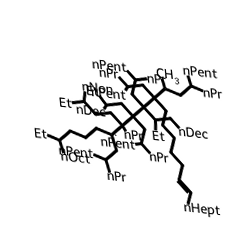 CCCCCCCC=CCCCCCC(CC(CCC)CCCCC)(C(C)CC(CCC)CCCCC)C(CC(CCC)CCCCC)(C(CC)CCCCCCCCCCC)C(CC(CC)CCCCCCCCCC)(CC(CCC)CCCCC)C(CCC)(CCC(CC)CCCCCCCCC)[C](CCCC(CC)CCCCCCCC)CC(CCC)CCCCC